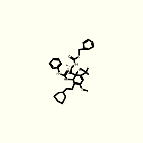 COC1=C(CCC2CCCCC2)C(NC(=O)Nc2ccccc2)C(O)(C(=O)[C@H](C)NC(=O)OCc2ccccc2)C(C(C)(C)C)=C1